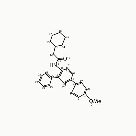 COc1ccc(-c2cnc(NC(=O)CC3CCCCC3)c(-c3ccccc3)n2)cc1